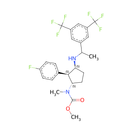 COC(=O)N(C)[C@H]1CC[C@H](NC(C)c2cc(C(F)(F)F)cc(C(F)(F)F)c2)[C@@H]1c1ccc(F)cc1